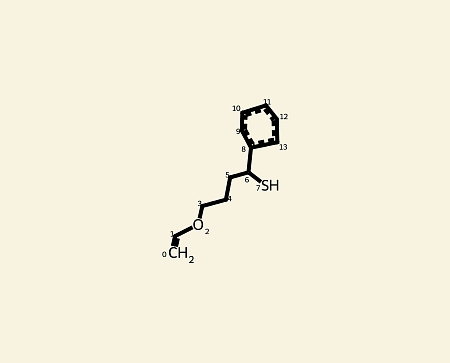 C=COCCCC(S)c1ccccc1